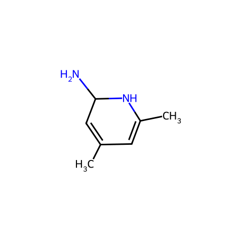 CC1=CC(N)NC(C)=C1